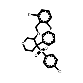 O=S(=O)(c1ccc(Cl)cc1)C1(c2ccccc2)CCOCC1OCc1c(F)cccc1Cl